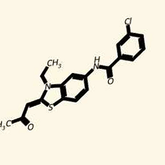 CCN1/C(=C/C(C)=O)Sc2ccc(NC(=O)c3cccc(Cl)c3)cc21